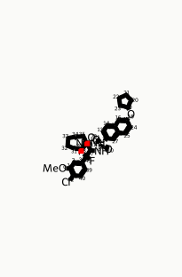 COc1cc(C(F)(F)C(NS(=O)(=O)c2ccc3cc(OC4CCCC4)ccc3c2)C(=O)N2C3CCC2CC(N)C3)ccc1Cl